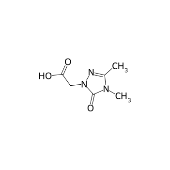 Cc1nn(CC(=O)O)c(=O)n1C